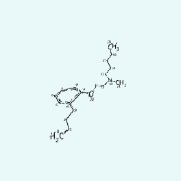 [CH2]CCCc1ccccc1OCCN(C)CCCCC